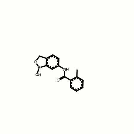 Cc1ccccc1C(=O)Nc1ccc2c(c1)B(O)OC2